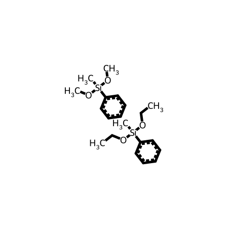 CCO[Si](C)(OCC)c1ccccc1.CO[Si](C)(OC)c1ccccc1